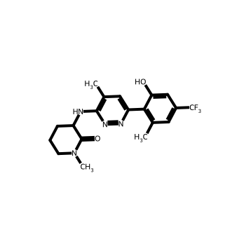 Cc1cc(-c2c(C)cc(C(F)(F)F)cc2O)nnc1NC1CCCN(C)C1=O